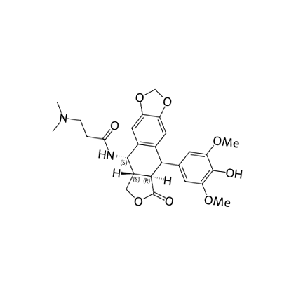 COc1cc(C2c3cc4c(cc3[C@@H](NC(=O)CCN(C)C)[C@H]3COC(=O)[C@H]23)OCO4)cc(OC)c1O